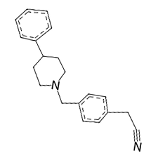 N#CCc1ccc(CN2CCC(c3ccccc3)CC2)cc1